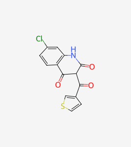 O=C1Nc2cc(Cl)ccc2C(=O)C1C(=O)c1ccsc1